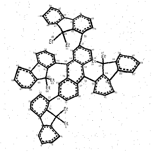 CCC1(CC)c2ccccc2-c2cccc(-c3ccc4c(-c5cccc6c5C(CC)(CC)c5ccccc5-6)c5ccc(-c6cccc7c6C(CC)(CC)c6ccccc6-7)cc5c(-c5cccc6c5C(CC)(CC)c5ccccc5-6)c4c3)c21